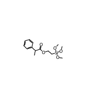 CO[Si](CCOC(=O)C(C)c1ccccc1)(OC)OC